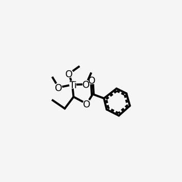 CC[CH](OC(=O)c1ccccc1)[Ti]([O]C)([O]C)[O]C